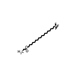 C=CC(=O)OCCCCCCCCCCCCCCCCCC[Si](F)(F)F